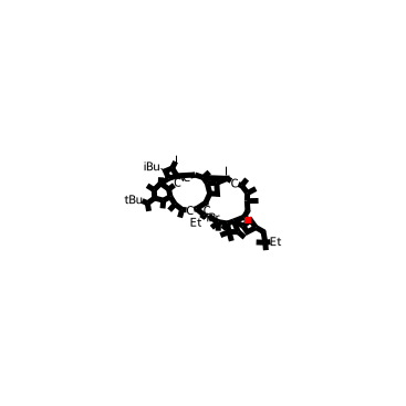 CCC(C(C)C)C1CC(C)C(C)C2C(C)C(C(C)C(C)(C)C)C(C)C3(C)C2CCCC(C2C(I)C([C@@H](C)CC)C23)C2(C)C3C4CC3C2(I)CC(C)C(C)C(C)CC(I)C2(C3CC(CC(C)(C)CC)C3)C(C)C(C)(C)C2(C)C(C)(C)CCC14